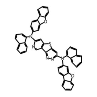 c1ccc2c(N(c3ccc4c(c3)oc3ccccc34)c3cc4sc5cc(N(c6ccc7c(c6)oc6ccccc67)c6cccc7ccccc67)nnc5c4cn3)cccc2c1